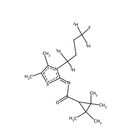 [2H]C([2H])(F)CCC([2H])([2H])n1c(C)c(C)sc1=NC(=O)C1C(C)(C)C1(C)C